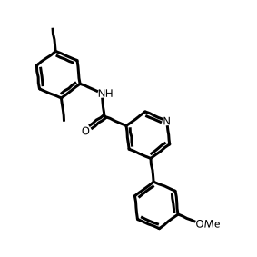 COc1cccc(-c2cncc(C(=O)Nc3cc(C)ccc3C)c2)c1